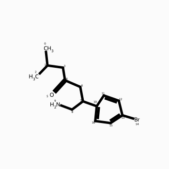 CC(C)CC(=O)CC(CN)c1ccc(Br)cc1